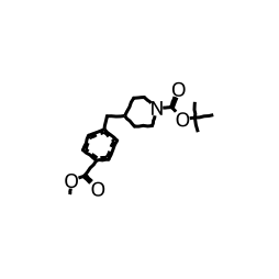 COC(=O)c1ccc(CC2CCN(C(=O)OC(C)(C)C)CC2)cc1